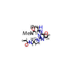 C=CC(=O)N1CC2(CCN(c3nc(N[C@H](CC(=O)NC)CC(C)C)c4occc4n3)C2)C1